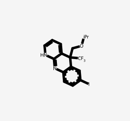 CC(C)OCC1(C(F)(F)F)C2=CC=CNC2=Nc2ccc(I)cc21